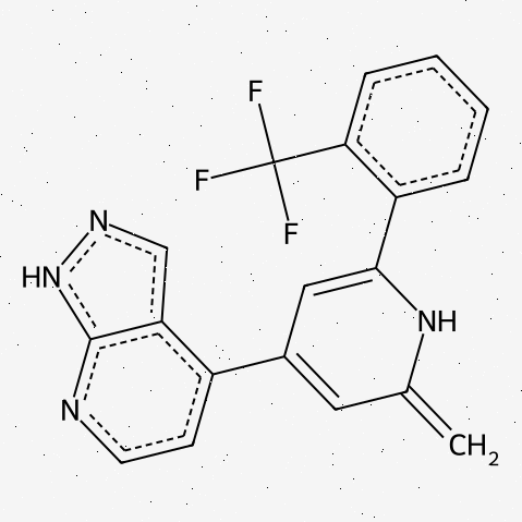 C=C1C=C(c2ccnc3[nH]ncc23)C=C(c2ccccc2C(F)(F)F)N1